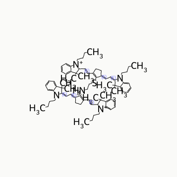 CCCCN1/C(=C/C=C2\CCC(/C=C/C3=[N+](CCCC)c4ccccc4C3(C)C)=C2NCCSC2=C(/C=C/C3=[N+](CCCC)c4ccccc4C3(C)C)CC/C2=C\C=C2\N(CCCC)c3ccccc3C2(C)C)C(C)(C)c2ccccc21